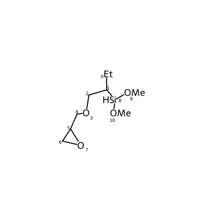 CCC(COCC1CO1)[SiH](OC)OC